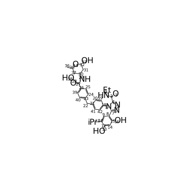 CCNC(=O)c1nnc(-c2cc(C(C)C)c(O)cc2O)n1-c1ccc(Cc2ccc(C(=O)NC3CC(O)OC(C)C3O)cc2)cc1